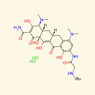 CN(C)c1cc(NC(=O)CNC(C)(C)C)c(O)c2c1C[C@H]1C[C@H]3[C@H](N(C)C)C(O)=C(C(N)=O)C(=O)[C@@]3(O)C(O)=C1C2=O.Cl.Cl